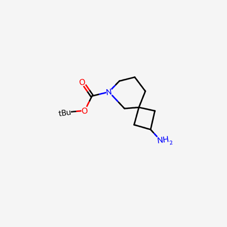 CC(C)(C)OC(=O)N1CCCC2(CC(N)C2)C1